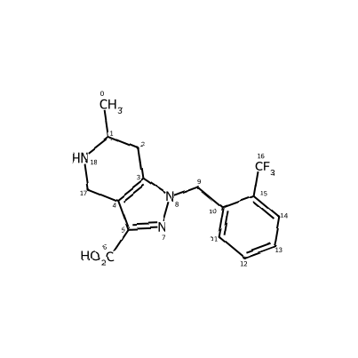 CC1Cc2c(c(C(=O)O)nn2Cc2ccccc2C(F)(F)F)CN1